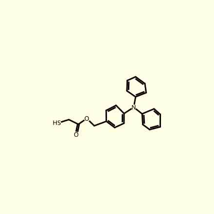 O=C(CS)OCc1ccc(N(c2ccccc2)c2ccccc2)cc1